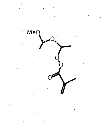 C=C(C)C(=O)OOC(C)OC(C)OC